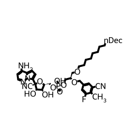 CCCCCCCCCCCCCCCCCCOC[C@H](COP(=O)(O)OC[C@H]1O[C@@](C#N)(c2ccc3c(N)ccnn23)[C@H](O)[C@@H]1O)OCc1cc(F)c(C)c(C#N)c1